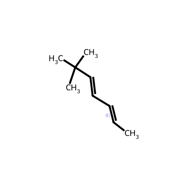 C/C=C/C=CC(C)(C)C